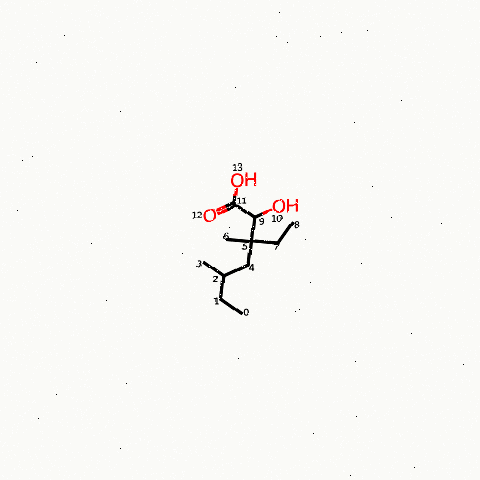 CCC(C)CC(C)(CC)C(O)C(=O)O